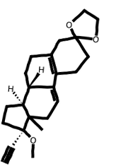 C#C[C@]1(OC)CC[C@H]2[C@@H]3CCC4=C(CCC5(C4)OCCO5)C3=CCC21C